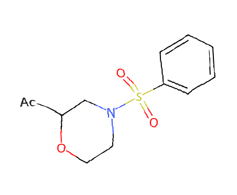 CC(=O)C1CN(S(=O)(=O)c2ccccc2)CCO1